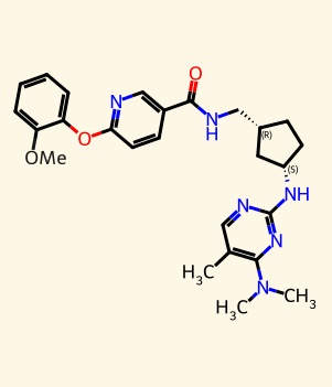 COc1ccccc1Oc1ccc(C(=O)NC[C@@H]2CC[C@H](Nc3ncc(C)c(N(C)C)n3)C2)cn1